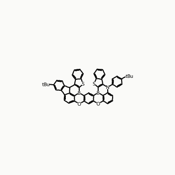 CC(C)(C)c1ccc(N2c3cccc4c3B(c3cc5c(cc3O4)Oc3ccc4c6c3B5c3sc5ccccc5c3C6c3ccc(C(C)(C)C)cc3-4)c3sc4ccccc4c32)cc1